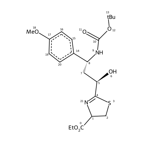 CCOC(=O)C1CSC([C@H](O)C[C@@H](NC(=O)OC(C)(C)C)c2ccc(OC)cc2)=N1